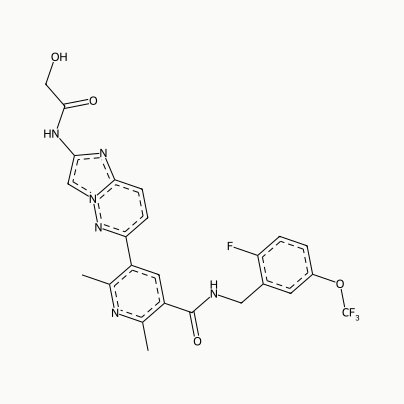 Cc1nc(C)c(-c2ccc3nc(NC(=O)CO)cn3n2)cc1C(=O)NCc1cc(OC(F)(F)F)ccc1F